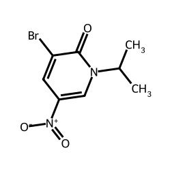 CC(C)n1cc([N+](=O)[O-])cc(Br)c1=O